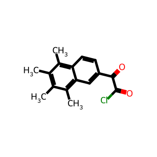 Cc1c(C)c(C)c2cc(C(=O)C(=O)Cl)ccc2c1C